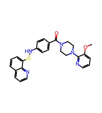 COc1cccnc1N1CCN(C(=O)c2ccc(NSc3cccc4cccnc34)cc2)CC1